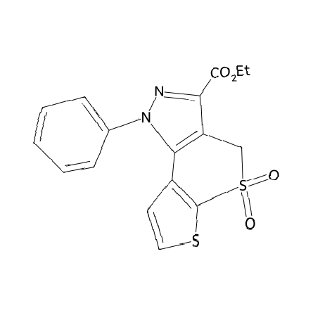 CCOC(=O)c1nn(-c2ccccc2)c2c1CS(=O)(=O)c1sccc1-2